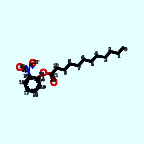 CCCCCCCCCCCC(=O)Oc1ccccc1[N+](=O)[O-]